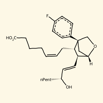 CCCCC[C@@H](O)/C=C/[C@@H]1[C@@H]2C[C@@](c3ccc(F)cc3)(CO2)[C@H]1C/C=C\CCCC(=O)O